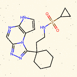 O=S(=O)(NCCC1(c2nnc3cnc4[nH]ccc4n23)CCCCC1)C1CC1